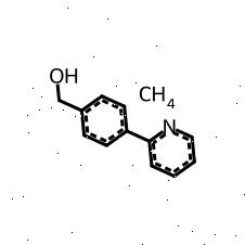 C.OCc1ccc(-c2ccccn2)cc1